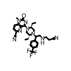 CC[C@H]1CN(C(CNCCC#N)c2ccc(C(F)(F)F)cc2)[C@H](CC)CN1c1nc(=O)n(C)c2ccc(C#N)nc12